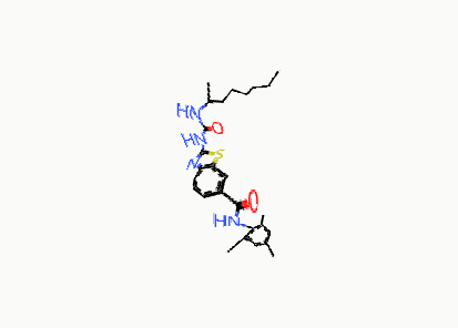 CCCCCCC(C)NC(=O)Nc1nc2ccc(C(=O)Nc3c(C)cc(C)cc3C)cc2s1